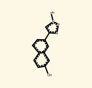 CCCn1cc(-c2ccc3ccc(O)cc3c2)nn1